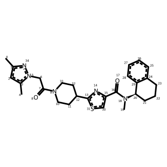 Cc1cc(C)n(CC(=O)N2CCC(c3nc(C(=O)N(C)[C@@H]4CCCc5ccccc54)cs3)CC2)n1